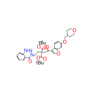 CC(C)(C)OC(=O)C(CCn1nnc2ccccc2c1=O)(CC(=O)c1coc2cc(OCC3CCOCC3)ccc12)C(=O)OC(C)(C)C